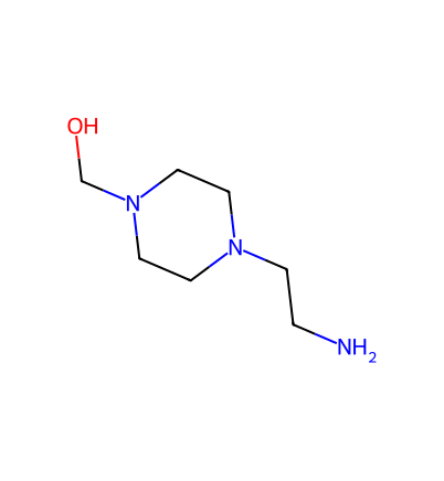 NCCN1CCN(CO)CC1